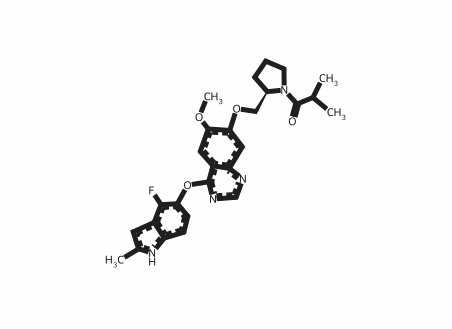 COc1cc2c(Oc3ccc4[nH]c(C)cc4c3F)ncnc2cc1OC[C@H]1CCCN1C(=O)C(C)C